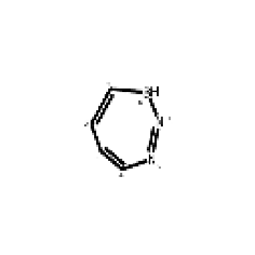 B1C=CC=CN=N1